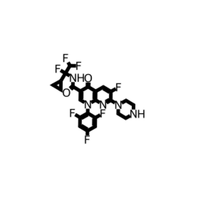 O=C(NC(F)(C(F)F)C1CC1)c1cn(-c2c(F)cc(F)cc2F)c2nc(N3CCNCC3)c(F)cc2c1=O